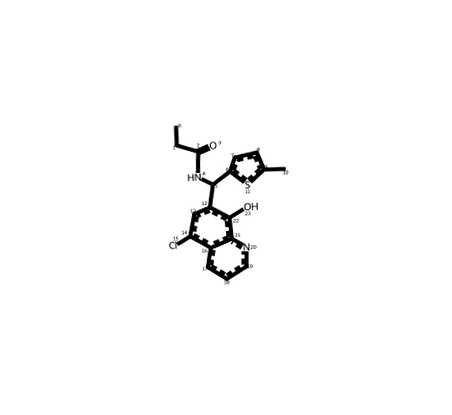 CCC(=O)NC(c1ccc(C)s1)c1cc(Cl)c2cccnc2c1O